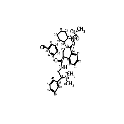 CN(C)C(CNC(=O)[C@@H]1c2ccccc2C(=O)N([C@H]2CCCC[C@@H]2NS(C)(=O)=O)[C@H]1c1ccc(Cl)cc1)c1ccccc1